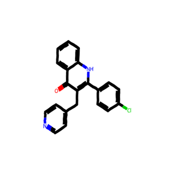 O=c1c(Cc2ccncc2)c(-c2ccc(Cl)cc2)[nH]c2ccccc12